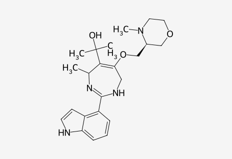 CC1N=C(c2cccc3[nH]ccc23)NCC(OC[C@@H]2COCCN2C)=C1C(C)(C)O